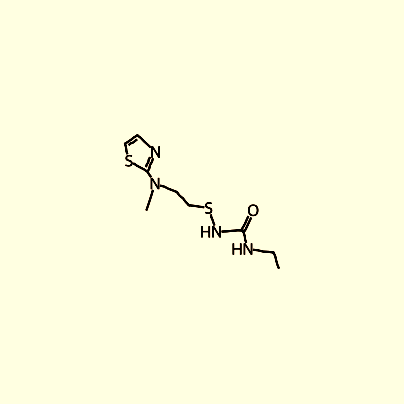 CCNC(=O)NSCCN(C)c1nccs1